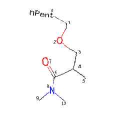 CCCCCCOCC(C)C(=O)N(C)C